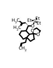 C=CCC12CCCC([C@H](CC(=C)C)O[Si](CC)(CC)CC)C1C1(CC2)OCCO1